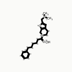 CN(C)Cc1cc2c(o1)CN(C(=O)CCCCCc1ccccc1)CC2.Cl